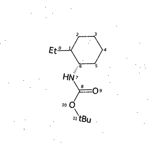 CCC1CCCC[C@@H]1NC(=O)OC(C)(C)C